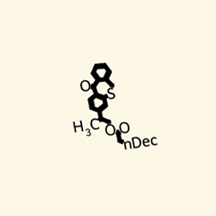 CCCCCCCCCCCC(=O)OCC(C)c1ccc2c(c1)SCc1ccccc1C2=O